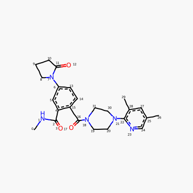 CNC(=O)c1cc(N2CCCC2=O)ccc1C(=O)N1CCN(c2ncc(C)cc2C)CC1